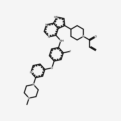 C=CC(=O)N1CCC(c2c[nH]c3ncnc(Nc4ccc(Oc5ccnc(N6CCN(C)CC6)c5)cc4F)c23)CC1